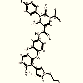 CCCn1cc(-c2c(Oc3ccc(NC(=O)C4=CN(C(C)C)C(=O)N(c5ccc(F)cc5)C4O)cc3F)ccnc2N)cn1